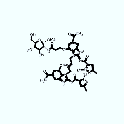 CCn1nc(C)cc1C(=O)/N=c1/[nH]c2cc(C(N)=O)cc(OC)c2n1C/C=C/Cn1/c(=N/C(=O)c2cc(C)nn2CC)[nH]c2cc(C(N)=O)cc(OCCC(=O)N[C@H]3[C@@H](OC)O[C@H](CO)[C@@H](O)[C@@H]3O)c21